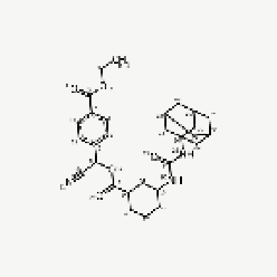 CCOC(=O)c1ccc(C(C#N)OC(=O)C2CCCC(NC(=O)NC34CC5CC(CC(C5)C3)C4)C2)cc1